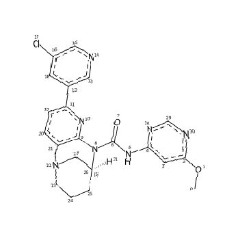 COc1cc(NC(=O)N2c3nc(-c4cncc(Cl)c4)ccc3N3CCC[C@H]2C3)ncn1